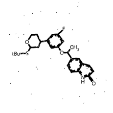 CC(Oc1cc(F)cc(C2CCOC(SC(C)(C)C)C2)c1)c1ccc2[nH]c(=O)ccc2c1